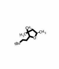 C[C@H]1CC(C)(C)C(CCC(C)(C)C)O1